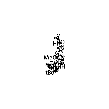 COc1c(Oc2ccnc(NC(=O)C3CC3)c2)cnc2nc(Nc3cc(C(C)(C)C)n(C[C@@H](C)O)n3)n(C)c12